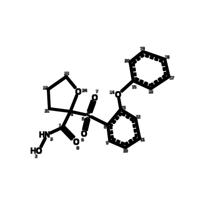 O=C(NO)C1(S(=O)(=O)c2ccccc2Oc2ccccc2)CCCO1